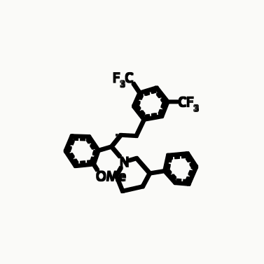 COc1ccccc1C([CH]Cc1cc(C(F)(F)F)cc(C(F)(F)F)c1)N1CCCC(c2ccccc2)C1